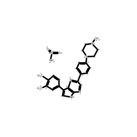 Cc1ccc(-c2c[nH]c3ncc(-c4ccc(N5CCN(C)CC5)cc4)nc23)cc1C.N[SH](=O)=O